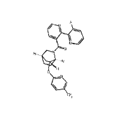 O=C(c1cccnc1-c1ncccc1F)N1C[C@@H]2CC[C@H]1[C@H](Oc1ccc(C(F)(F)F)cn1)C2